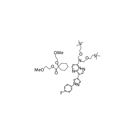 COCCOC(=O)[C@]1(OCCOC)CC[C@H](c2cc(N(COCC[Si](C)(C)C)COCC[Si](C)(C)C)n3ncc(-c4cnn(-c5ccc(F)cc5)c4)c3n2)CC1